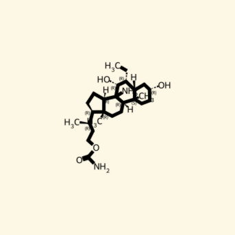 CC[C@H]1[C@@H](O)C2(N)[C@H](CC[C@]3(C)[C@@H]([C@H](C)CCOC(N)=O)CC[C@@H]23)[C@@]2(C)CC[C@@H](O)C[C@@H]12